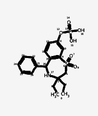 CCC1(CC)CS(=O)(=O)c2cc(OP(=O)(O)O)ccc2C(c2ccccc2)N1